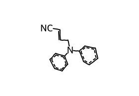 N#C/C=C/CN(c1ccccc1)c1ccccc1